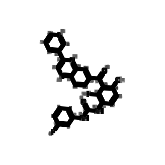 O=C(Nc1cccc(F)c1)Nc1ccc(Cl)c(C(=O)c2ccc3ncc(-c4cccnc4)nc3c2)c1F